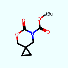 CC(C)(C)OC(=O)N1CC2(CC2)COC1=O